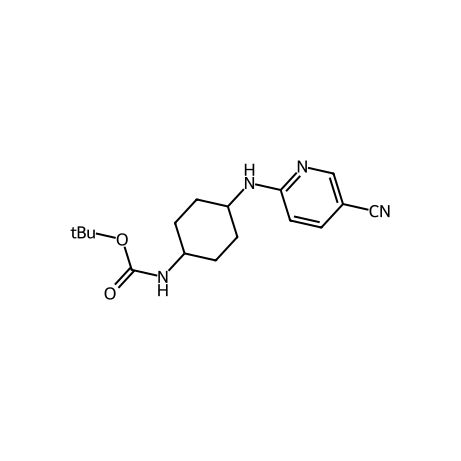 CC(C)(C)OC(=O)NC1CCC(Nc2ccc(C#N)cn2)CC1